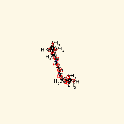 COc1cc(OC)c(C2OCC(C)(COC(=O)/C=C/C(=O)OCCOC(=O)/C=C/C(=O)OCC3(C)COC(c4c(OC)cc(OC)cc4OC)OC3)CO2)c(OC)c1